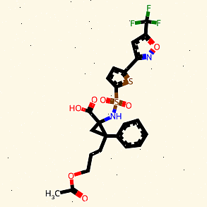 CC(=O)OCCCC1(c2ccccc2)CC1(NS(=O)(=O)c1ccc(-c2cc(C(F)(F)F)on2)s1)C(=O)O